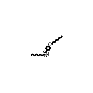 CCCCCCCCOc1ccc(-c2nnc(CCCCCCC)s2)cc1